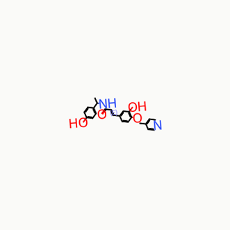 CC(NC(=O)/C=C/c1ccc(OCc2ccncc2)c(O)c1)c1ccc(O)cc1